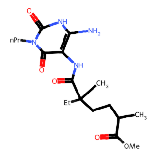 CCCn1c(=O)[nH]c(N)c(NC(=O)C(C)(CC)CCC(C)C(=O)OC)c1=O